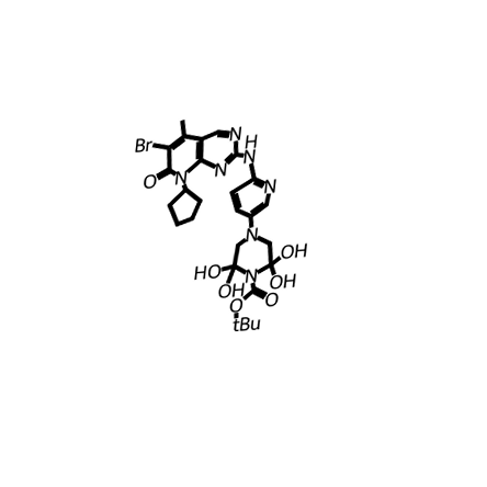 Cc1c(Br)c(=O)n(C2CCCC2)c2nc(Nc3ccc(N4CC(O)(O)N(C(=O)OC(C)(C)C)C(O)(O)C4)cn3)ncc12